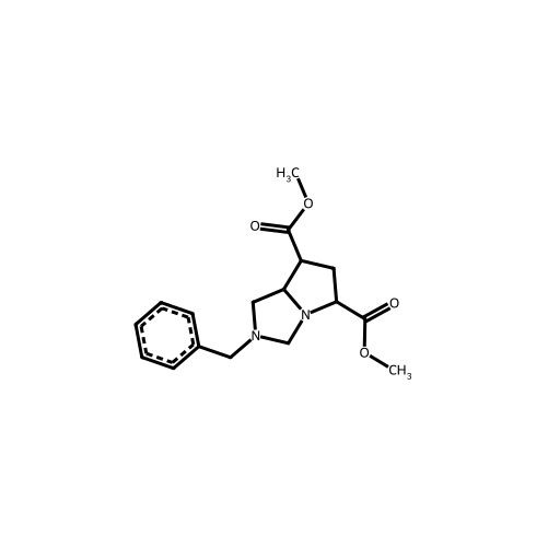 COC(=O)C1CC(C(=O)OC)N2CN(Cc3ccccc3)CC12